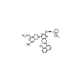 C=CC(=O)N1CCN(c2nc(OC#C[C@@H]3CCCN3C)nc3c2CCN(c2cccc4cccc(Cl)c24)C3)CC1/C=C/C#N